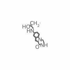 [CH2][C@@H](O)CNc1ccc2c(c1)cc1n2CCNC1=O